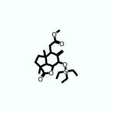 C=C1C(O[Si](CC)(CC)CC)C2OC(=O)C3(C)CCC(C)(C1CC(=O)OC)C23